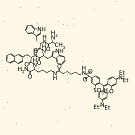 CCN(CC)c1ccc2c(-c3ccc(S(=O)(=O)NCCCCCC(=O)NCCCC[C@H](NC(=O)[C@@H](Cc4ccc5ccccc5c4)NC(=O)[C@H](Cc4c[nH]c5ccccc45)NC(=O)[C@H](Cc4c[nH]c5ccccc45)NC(=O)[C@H](C)N)C(N)=O)cc3S(=O)(=O)O)c3ccc(=[N+](CC)CC)cc-3oc2c1